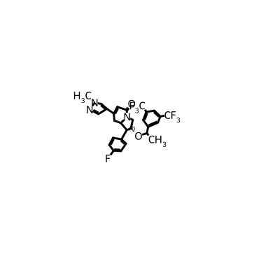 CC(O[C@H]1CN2C(=O)C=C(c3cnn(C)c3)CC2C1c1ccc(F)cc1)c1cc(C(F)(F)F)cc(C(F)(F)F)c1